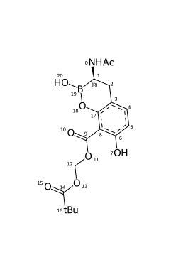 CC(=O)N[C@H]1Cc2ccc(O)c(C(=O)OCOC(=O)C(C)(C)C)c2OB1O